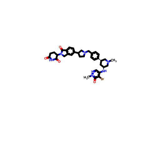 CN1C[C@H](Nc2cnn(C)c(=O)c2Br)C[C@H](c2ccc(CN3CCC(c4ccc5c(c4)CN(C4CCC(=O)NC4=O)C5=O)C3)cc2)C1